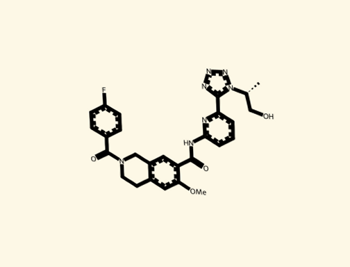 COc1cc2c(cc1C(=O)Nc1cccc(-c3nnnn3[C@H](C)CO)n1)CN(C(=O)c1ccc(F)cc1)CC2